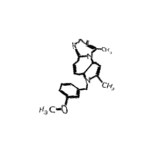 COc1cccc(CN2C(C)=CC3C2C=Cc2nnc(C)n23)c1